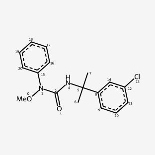 CON(C(=O)NC(C)(C)c1cccc(Cl)c1)c1ccccc1